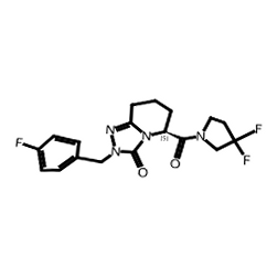 O=C([C@@H]1CCCc2nn(Cc3ccc(F)cc3)c(=O)n21)N1CCC(F)(F)C1